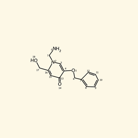 NCn1cc(OCc2ccccc2)c(=O)cc1CO